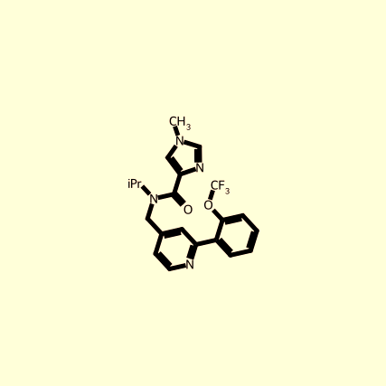 CC(C)N(Cc1ccnc(-c2ccccc2OC(F)(F)F)c1)C(=O)c1cn(C)cn1